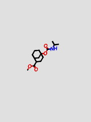 COC(=O)C1CCC2(OC(=O)NC(C)C)CCCC1C2